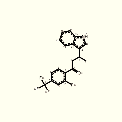 CC(CC(=O)c1ccc(C(F)(F)F)cc1F)c1c[nH]c2ccccc12